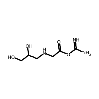 N=C(N)OC(=O)CNCC(O)CO